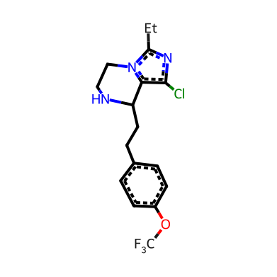 CCc1nc(Cl)c2n1CCNC2CCc1ccc(OC(F)(F)F)cc1